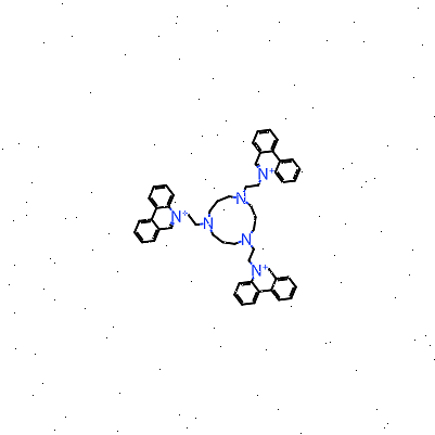 c1ccc2c(c1)c[n+](CCN1CCCN(CC[n+]3cc4ccccc4c4ccccc43)CCCN(CC[n+]3cc4ccccc4c4ccccc43)CCC1)c1ccccc21